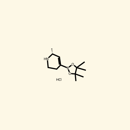 C[C@@H]1C=C(B2OC(C)(C)C(C)(C)O2)CCN1.Cl